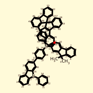 CC1(C)c2ccccc2-c2ccc(N(c3ccc(-c4ccc5c6ccccc6n(-c6ccccc6)c5c4)cc3)c3ccc(-c4cccc5c4C4(c6ccccc6-5)c5ccccc5-c5c4ccc4ccccc54)cc3)cc21